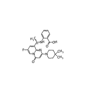 C[C@@H](Nc1ccccc1C(=O)O)c1cc(F)cn2c(=O)cc(N3CCC(C)(C)CC3)nc12